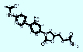 CC(=O)Nc1ccc(-c2ccc(N3CC(CCC(N)=O)OC3=O)cc2F)cn1